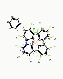 [N-]=[N+]=C1C(F)=C(F)C(F)=C(F)C1[B-](c1cc(F)c(F)c(F)c1F)(c1cc(F)c(F)c(F)c1F)c1cc(F)c(F)c(F)c1F.c1ccccc1